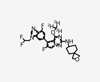 [2H]C([2H])([2H])Oc1nc(NC2CCC3(CC2)COC3)nn2cc(F)c(-c3cc(F)c4ncn(CC(F)F)c4c3)c12